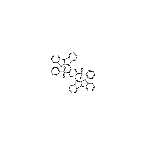 O=S(=O)(c1ccccc1)c1cc(-n2c3ccccc3c3c4ccccc4oc32)c(S(=O)(=O)c2ccccc2)cc1-n1c2ccccc2c2c3ccccc3oc21